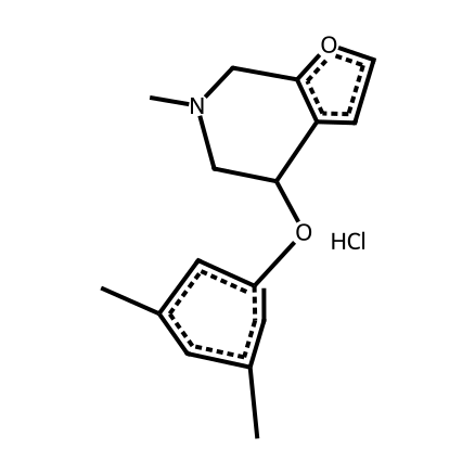 Cc1cc(C)cc(OC2CN(C)Cc3occc32)c1.Cl